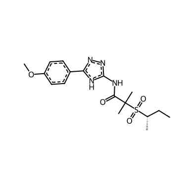 CC[C@H](C)S(=O)(=O)C(C)(C)C(=O)Nc1nnc(-c2ccc(OC)cc2)[nH]1